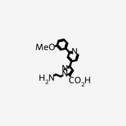 COc1cccc(-c2cc(-c3cc(C(=O)O)n(CCN)n3)ccn2)c1